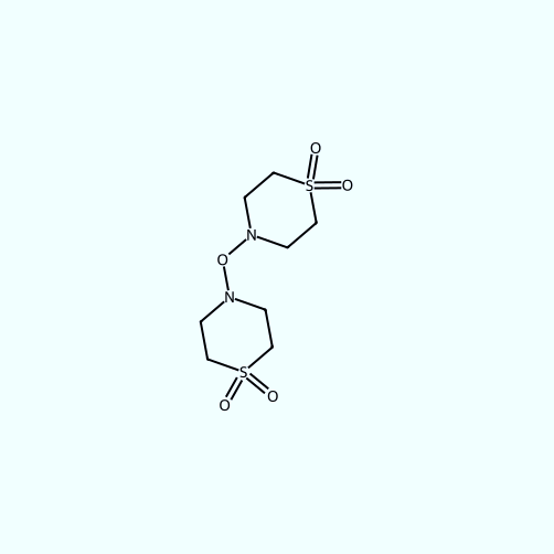 O=S1(=O)CCN(ON2CCS(=O)(=O)CC2)CC1